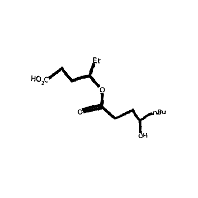 CCCCC(O)CCC(=O)OC(CC)CCC(=O)O